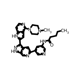 CCCCC(=O)Nc1cncc(-c2cc3c(-c4cc5c(N6CCN(C)CC6)nccc5[nH]4)n[nH]c3cn2)c1